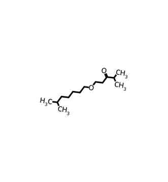 CC(C)CCCCCOCCC(=O)C(C)C